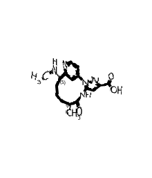 CN[C@H]1CCC[C@@H](C)C(=O)Nc2cc(C(=O)O)nn2-c2ccnc1c2